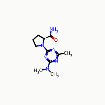 Cc1nc(N(C)C)nc(N2CCC[C@H]2C(N)=O)n1